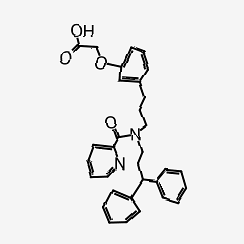 O=C(O)COc1cccc(CCCN(CCC(c2ccccc2)c2ccccc2)C(=O)c2ccccn2)c1